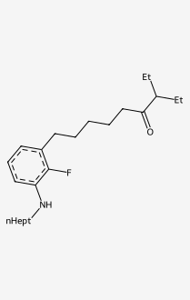 CCCCCCCNc1cccc(CCCCCC(=O)C(CC)CC)c1F